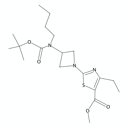 CCCCN(C(=O)OC(C)(C)C)C1CN(c2nc(CC)c(C(=O)OC)s2)C1